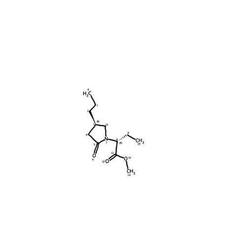 CCC[C@@H]1CC(=O)N([C@H](CC)C(=O)OC)C1